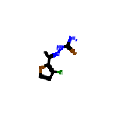 C/C(=N\NC(N)=S)c1sccc1Cl